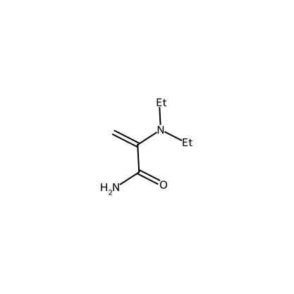 C=C(C(N)=O)N(CC)CC